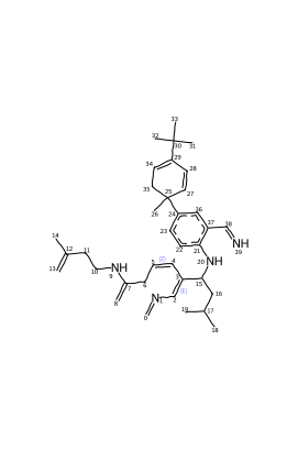 C=N/C=C(\C=C/CC(=C)NCCC(=C)C)C(CC(C)C)Nc1ccc(C2(C)C=CC(C(C)(C)C)=CC2)cc1C=N